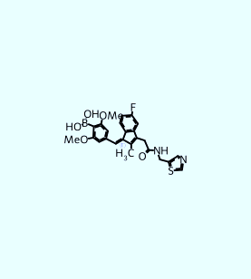 COc1cc(/C=C2/C(C)=C(CC(=O)NCc3cncs3)c3cc(F)ccc32)cc(OC)c1B(O)O